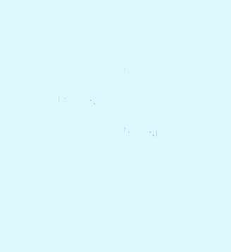 CCN(CC)C(=O)c1cnc(Nc2cccc(Cl)c2F)c2cccc(C)c12